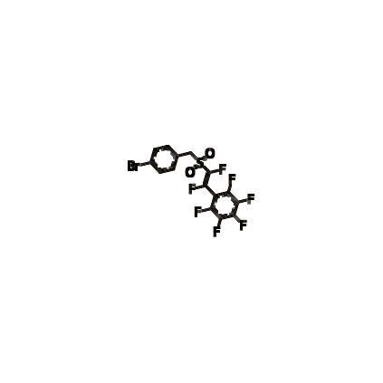 O=S(=O)(Cc1ccc(Br)cc1)C(F)=C(F)c1c(F)c(F)c(F)c(F)c1F